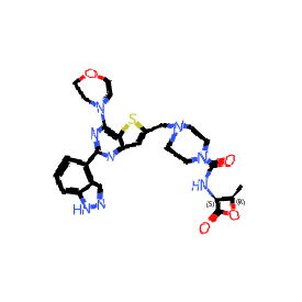 C[C@H]1OC(=O)[C@H]1NC(=O)N1CCN(Cc2cc3nc(-c4cccc5[nH]ncc45)nc(N4CCOCC4)c3s2)CC1